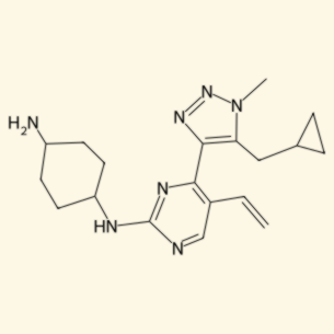 C=Cc1cnc(NC2CCC(N)CC2)nc1-c1nnn(C)c1CC1CC1